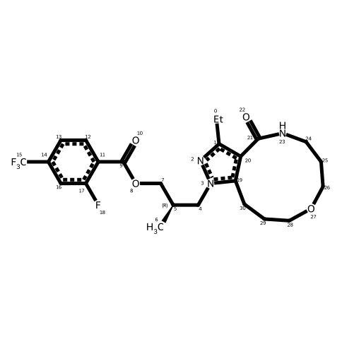 CCc1nn(C[C@@H](C)COC(=O)c2ccc(C(F)(F)F)cc2F)c2c1C(=O)NCCCOCCC2